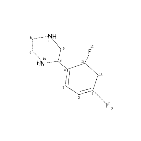 FC1=CC=C(C2CNCCN2)C(F)C1